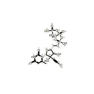 Cc1cc(=O)[nH]c(=O)n1[C@@H]1O[C@H](COP(=O)(O)OP(=O)(O)OP(=O)(O)O)C(O)[C@]1(O)C#CCl